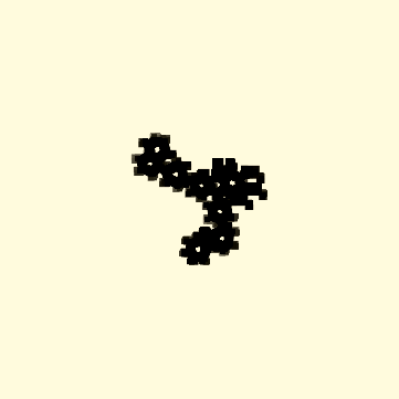 Bc1c(B)c(B)c(N(c2ccc(-c3ccc(-c4cccc5ccccc45)cc3)cc2)c2ccc(-c3cccc4c3oc3ccccc34)cc2)c(B)c1B